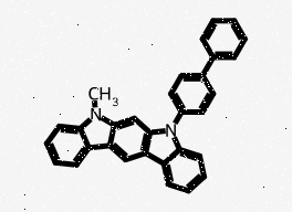 Cn1c2ccccc2c2cc3c4ccccc4n(-c4ccc(-c5ccccc5)cc4)c3cc21